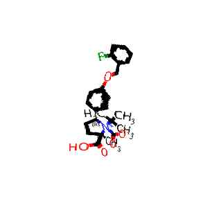 CC(C)(C)[N+]1(C(=O)[O-])[C@@H](c2ccc(OCc3ccccc3F)cc2)CC[C@@]1(C)C(=O)O